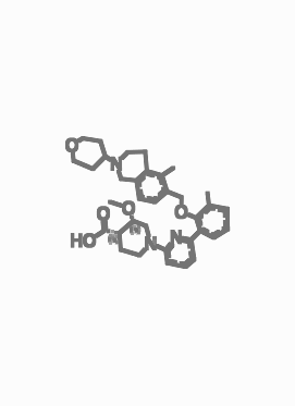 CO[C@@H]1CN(c2cccc(-c3cccc(C)c3OCc3ccc4c(c3C)CCN(C3CCOCC3)C4)n2)CC[C@@H]1C(=O)O